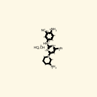 CCCc1cc(N2CCCC(N)C2)nc(Nc2ccc(N)c(C#N)c2)n1.Cl.Cl